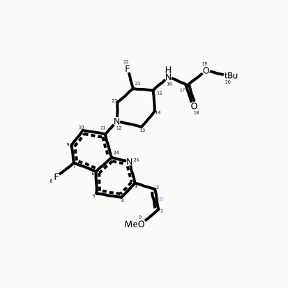 CO/C=C\c1ccc2c(F)ccc(N3CCC(NC(=O)OC(C)(C)C)C(F)C3)c2n1